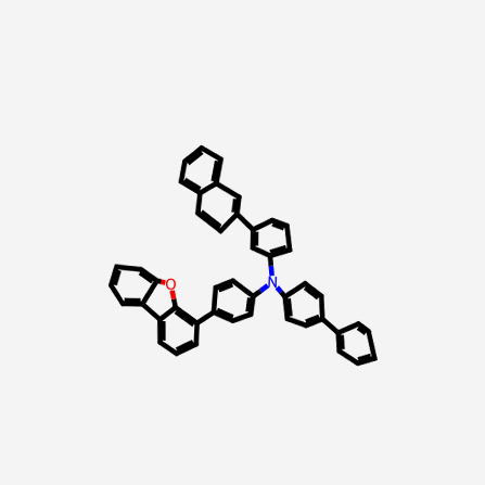 c1ccc(-c2ccc(N(c3ccc(-c4cccc5c4oc4ccccc45)cc3)c3cccc(-c4ccc5ccccc5c4)c3)cc2)cc1